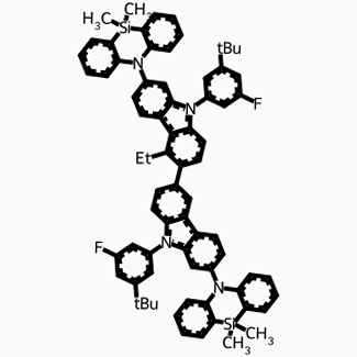 CCc1c(-c2ccc3c(c2)c2ccc(N4c5ccccc5[Si](C)(C)c5ccccc54)cc2n3-c2cc(F)cc(C(C)(C)C)c2)ccc2c1c1ccc(N3c4ccccc4[Si](C)(C)c4ccccc43)cc1n2-c1cc(F)cc(C(C)(C)C)c1